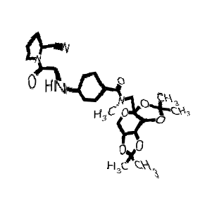 CN(CC12OCC3OC(C)(C)OC3C1OC(C)(C)O2)C(=O)C1CCC(NCC(=O)N2CCCC2C#N)CC1